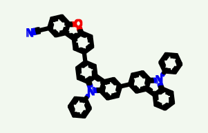 N#Cc1ccc2oc3ccc(-c4ccc5c(c4)c4cc(-c6ccc7c(c6)c6ccccc6n7-c6ccccc6)ccc4n5-c4ccccc4)cc3c2c1